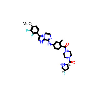 COc1ccc(-c2cnc3c(Nc4ccc(C(=O)N5CCN(C(=O)[C@@H]6C[C@@H](F)CN6)CC5)c(C)c4)nccn23)c(F)c1F